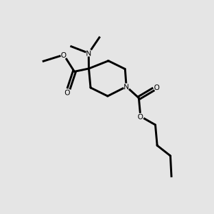 CCCCOC(=O)N1CCC(C(=O)OC)(N(C)C)CC1